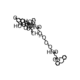 CCCC1O[C@@H]2C[C@H]3[C@@H]4CCC5=CC(=O)C=C[C@]5(C)[C@H]4[C@@H](O)C[C@]3(C)[C@]2(C(=O)COC2CCCN2C(=O)CNC(=O)CCOCCOCCOCCOCCNC(=O)CCC(=O)N2Cc3ccccc3CCc3ccccc32)O1